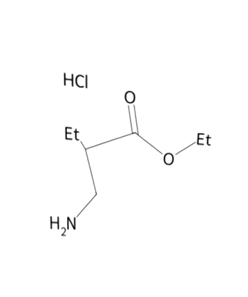 CCOC(=O)C(CC)CN.Cl